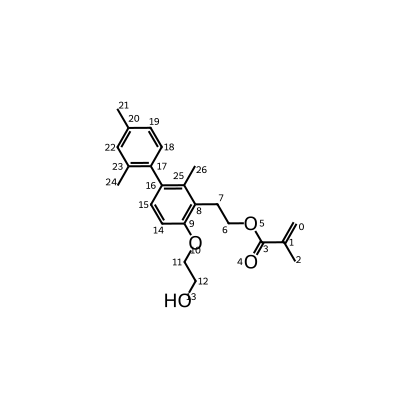 C=C(C)C(=O)OCCc1c(OCCO)ccc(-c2ccc(C)cc2C)c1C